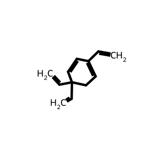 C=CC1=CCC(C=C)(C=C)C=C1